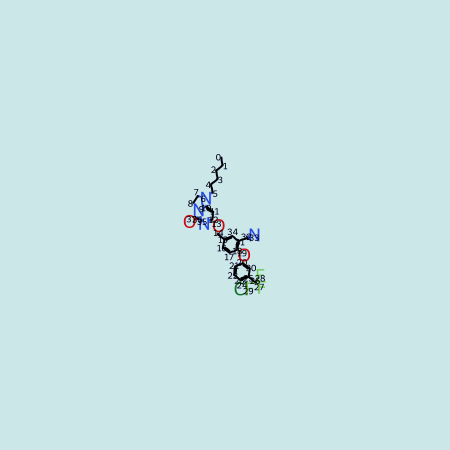 CCCCCCN1CCn2c1cc(OCc1ccc(Oc3ccc(Cl)c(C(F)(F)F)c3)c(C#N)c1)nc2=O